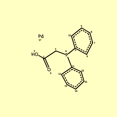 O=C(O)CP(c1ccccc1)c1ccccc1.[Pd]